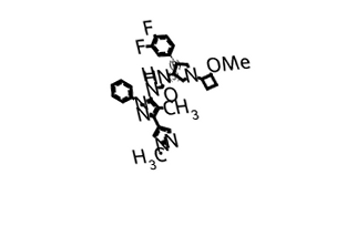 COC1CCC1N1C[C@@H](NC(=O)Nc2c(C)c(-c3cnn(C)c3)nn2-c2ccccc2)[C@H](c2ccc(F)c(F)c2)C1